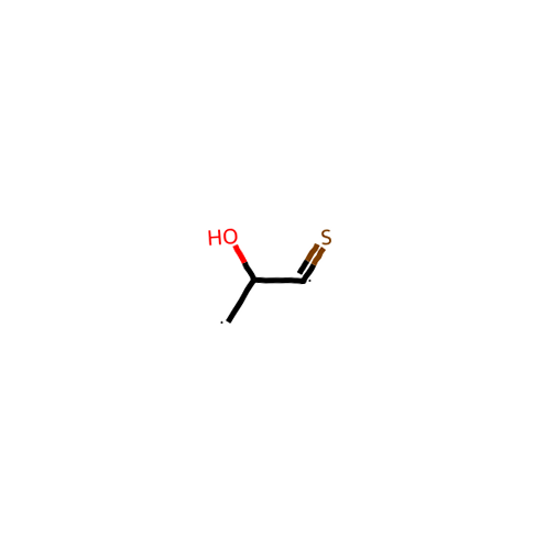 [CH2]C(O)[C]=S